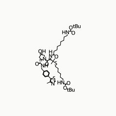 Cc1ncsc1-c1ccc(CNC(=O)[C@@H]2C[C@@H](O)CN2C(=O)[C@@H](NC(=O)CCCCCCCCNC(=O)OC(C)(C)C)C(C)(C)SCCCCCCNC(=O)OC(C)(C)C)cc1